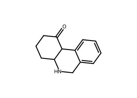 O=C1CCCC2NCc3ccccc3C12